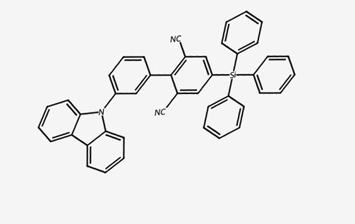 N#Cc1cc([Si](c2ccccc2)(c2ccccc2)c2ccccc2)cc(C#N)c1-c1cccc(-n2c3ccccc3c3ccccc32)c1